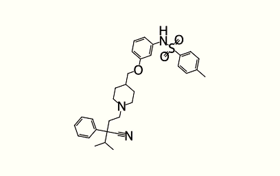 Cc1ccc(S(=O)(=O)Nc2cccc(OCC3CCN(CCC(C#N)(c4ccccc4)C(C)C)CC3)c2)cc1